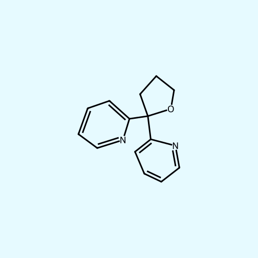 c1ccc(C2(c3ccccn3)CCCO2)nc1